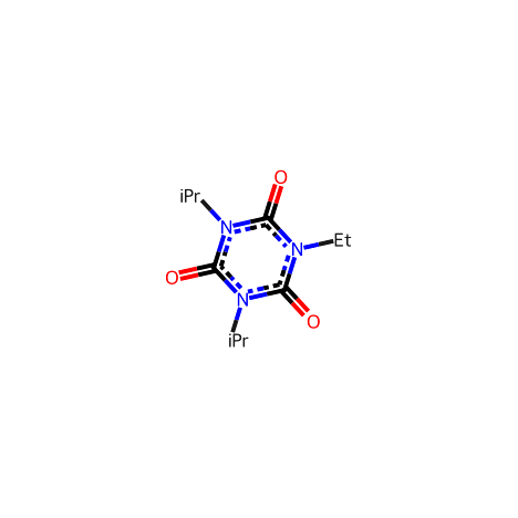 CCn1c(=O)n(C(C)C)c(=O)n(C(C)C)c1=O